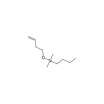 C=CCCO[Si](C)(C)CCCC